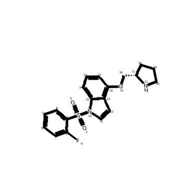 O=S(=O)(c1ccccc1F)n1ccc2c(OC[C@@H]3CCCN3)cccc21